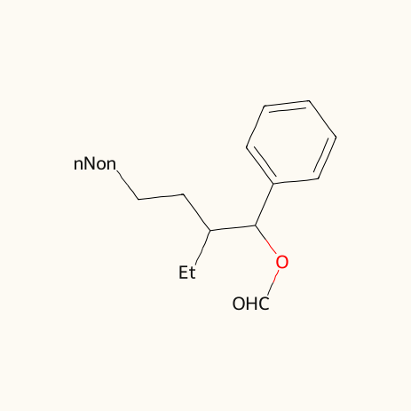 CCCCCCCCCCCC(CC)C(OC=O)c1ccccc1